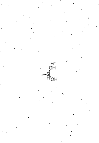 C[SiH](O)O.[H+]